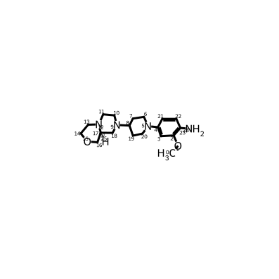 COc1cc(N2CCC(N3CCN4CCOC[C@@H]4C3)CC2)ccc1N